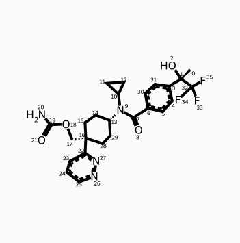 C[C@](O)(c1ccc(C(=O)N(C2CC2)[C@H]2CC[C@](COC(N)=O)(c3cccnn3)CC2)cc1)C(F)(F)F